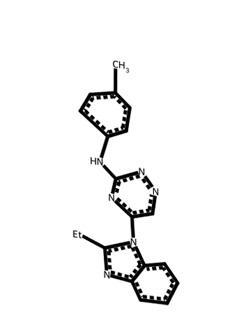 CCc1nc2ccccc2n1-c1cnnc(Nc2ccc(C)cc2)n1